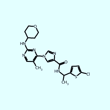 Cc1cnc(NC2CCOCC2)nc1-n1cnc(C(=O)NC(C)c2ccc(Cl)s2)c1